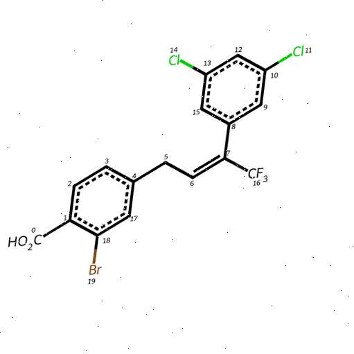 O=C(O)c1ccc(C/C=C(\c2cc(Cl)cc(Cl)c2)C(F)(F)F)cc1Br